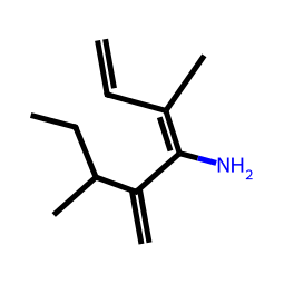 C=C/C(C)=C(/N)C(=C)C(C)CC